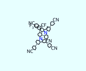 N#Cc1ccc(-c2ccc3c(c2)c2cc(-c4ccc(C#N)cc4)ccc2n3-c2ccc(C#N)cc2-c2cc(-c3cc(C(F)(F)F)cc(C(F)(F)F)c3)ccc2-n2c3ccc(-c4ccc(C#N)cc4)cc3c3cc(-c4ccc(C#N)cc4)ccc32)cc1